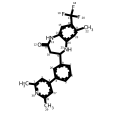 Cc1cc(-c2cccc(C3CC(=O)Nc4cc(C(F)(F)F)c(C)cc4N3)c2)cc(C)n1